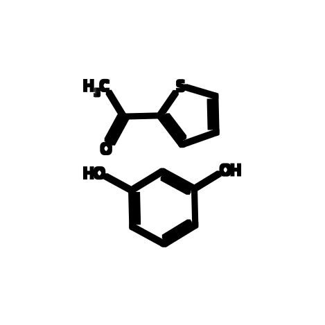 CC(=O)c1cccs1.Oc1cccc(O)c1